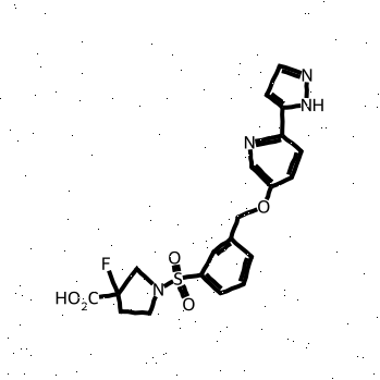 O=C(O)C1(F)CCN(S(=O)(=O)c2cccc(COc3ccc(-c4ccn[nH]4)nc3)c2)C1